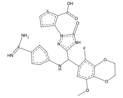 COc1cc(C(Nc2ccc(C(=N)N)cc2)c2nn(-c3ccsc3C(=O)O)c(=O)[nH]2)c(F)c2c1OCCO2